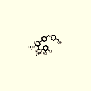 CN1N=C(c2cc(-c3ccc(CN4CCC(CO)CC4)cc3)cnc2N)N(c2cccc(Cl)c2Cl)N1